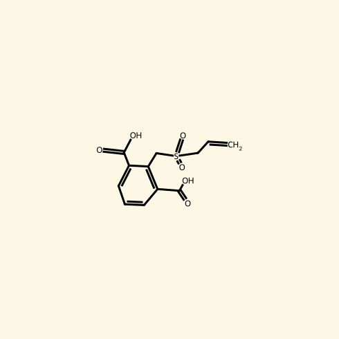 C=CCS(=O)(=O)Cc1c(C(=O)O)cccc1C(=O)O